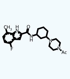 CC(=O)N1CCN(C2CCCC(NC(=O)c3cc4c(F)ccc(C)c4[nH]3)C2)CC1